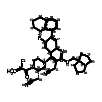 C=C(F)C(=O)N1CCN(C2=C(CC#N)C(OCC34CCCN3CCC4)=NC3C=C(c4cccc5c4CCCC5)C(F)=CC23)C[C@@H]1CC#N